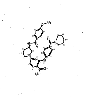 CCCOc1ccc(C(=O)NC2CCCN(c3nnc(C(N)=O)c(Nc4ccc(C(=O)N5CCOCC5)cc4)n3)C2)cc1